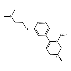 C[C@H]1CC=C(c2cccc(OCCN(C)C)c2)N(C(=O)O)C1